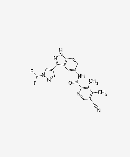 Cc1c(C#N)cnc(C(=O)Nc2ccc3[nH]nc(-c4cnn(C(F)F)c4)c3c2)c1C